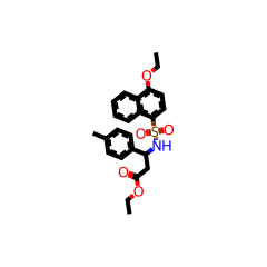 CCOC(=O)CC(NS(=O)(=O)c1ccc(OCC)c2ccccc12)c1ccc(C)cc1